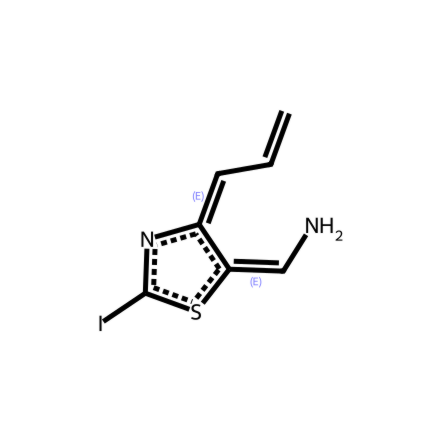 C=C/C=c1/nc(I)s/c1=C/N